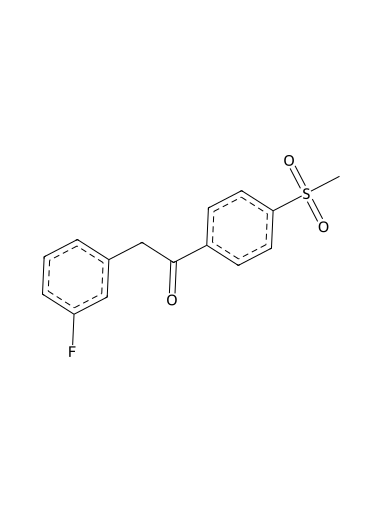 CS(=O)(=O)c1ccc(C(=O)Cc2cccc(F)c2)cc1